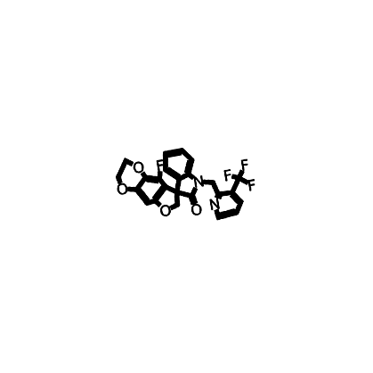 O=C1N(Cc2ncccc2C(F)(F)F)c2ccccc2C12COc1cc3c(c(F)c12)OCCO3